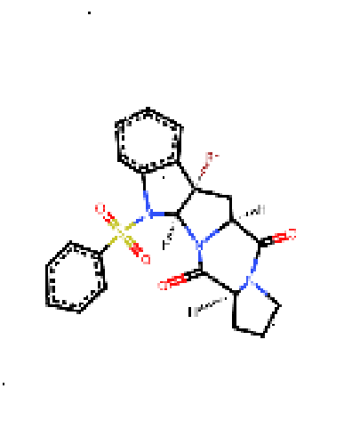 O=C1[C@@H]2C[C@]3(Br)c4ccccc4N(S(=O)(=O)c4ccccc4)[C@@H]3N2C(=O)[C@@H]2CCCN12